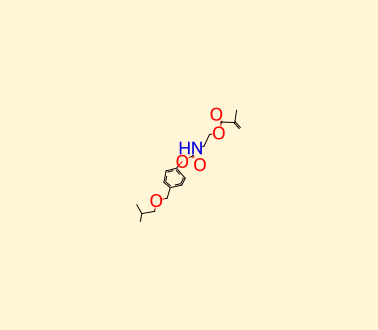 C=C(C)C(=O)OCCNC(=O)Oc1ccc(COCC(C)C)cc1